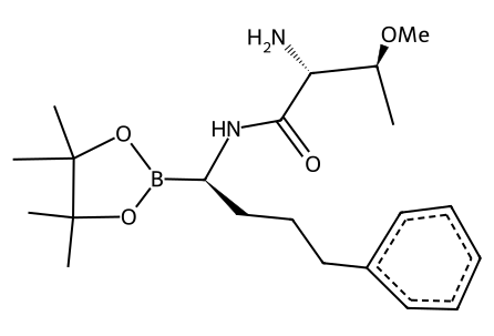 CO[C@@H](C)[C@@H](N)C(=O)N[C@@H](CCCc1ccccc1)B1OC(C)(C)C(C)(C)O1